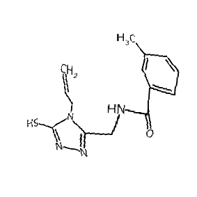 C=CCn1c(S)nnc1CNC(=O)c1cccc(C)c1